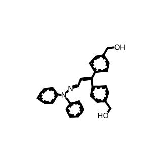 OCc1ccc(C(=CC=NN(c2ccccc2)c2ccccc2)c2ccc(CO)cc2)cc1